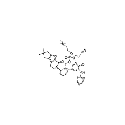 [C-]#[N+]CCOP(=O)(OCCC#N)OCc1c(-c2cc(Nc3ccncn3)c(=O)n(C)c2)cccc1N1CCc2c(sc3c2CC(C)(C)C3)C1=O